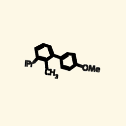 COc1ccc(-c2cccc(C(C)C)c2C)cc1